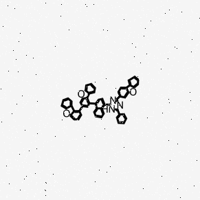 c1ccc(C2N=C(c3ccc4c(c3)oc3ccccc34)N=C(c3ccc(-c4cc(-c5cccc6oc7ccccc7c56)cc5oc6ccccc6c45)c4ccccc34)N2)cc1